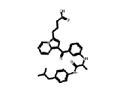 CC(C)Cc1ccc(NC(=O)C(C)Nc2cccc(C(=O)c3cc(CCCC(=O)O)n4ccccc34)c2)cc1